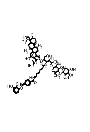 CC(O[C@@H]1OC(C)[C@H](O[C@@H]2OC[C@@H](O)C(O)C2O)C(O)C1O)C(O)[C@@H](NC(=O)CCCCCNC(=O)c1ccc(COc2cccc(O)c2C=O)cc1)C(CO)OOC(=O)[C@@]1(CCC(C)(C)C)C(O)CC2(C)C(=CCC3C4(C)CC[C@H](O)C(C)(C=N)C4CCC32C)C1I